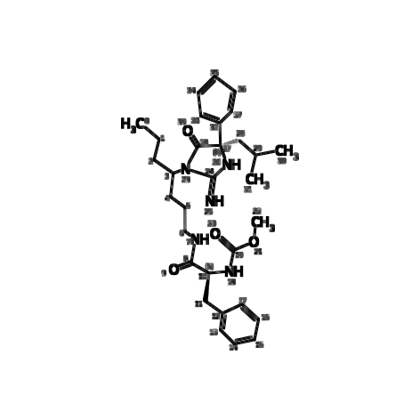 CCCC(CCCNC(=O)[C@H](Cc1ccccc1)NC(=O)OC)N1C(=N)N[C@](CC(C)C)(c2ccccc2)C1=O